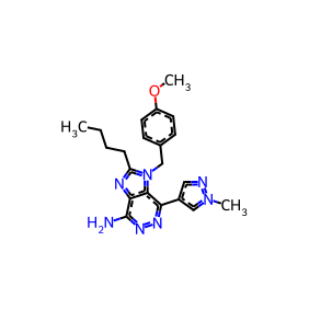 CCCCc1nc2c(N)nnc(-c3cnn(C)c3)c2n1Cc1ccc(OC)cc1